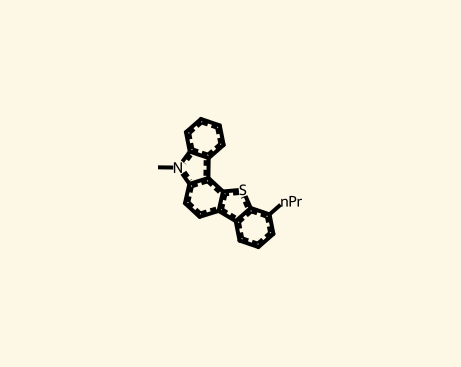 CCCc1cccc2c1sc1c2ccc2c1c1ccccc1n2C